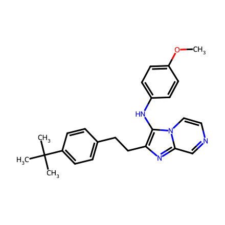 COc1ccc(Nc2c(CCc3ccc(C(C)(C)C)cc3)nc3cnccn23)cc1